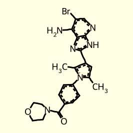 Cc1cc(-c2nc3c(N)c(Br)cnc3[nH]2)c(C)n1-c1ccc(C(=O)N2CCOCC2)cc1